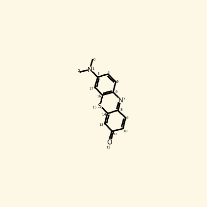 CN(C)c1ccc2nc3ccc(=O)cc-3sc2c1